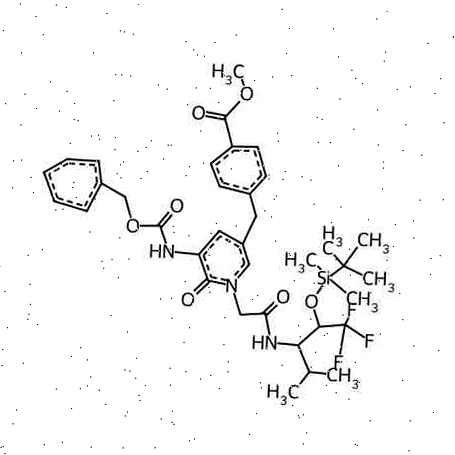 COC(=O)c1ccc(Cc2cc(NC(=O)OCc3ccccc3)c(=O)n(CC(=O)NC(C(C)C)C(O[Si](C)(C)C(C)(C)C)C(F)(F)F)c2)cc1